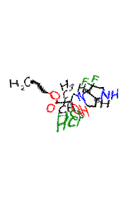 C=CCOC(=O)C(C)(C)[C@H](O)CN1CC[C@@H]2NCC(F)(F)[C@@H]21.Cl.Cl